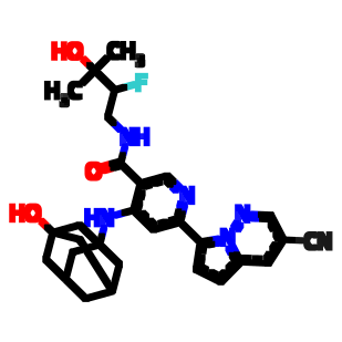 CC(C)(O)C(F)CNC(=O)c1cnc(-c2ccc3cc(C#N)cnn23)cc1NC12CC3CC(CC(O)(C3)C1)C2